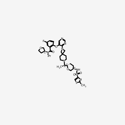 Cc1nc(S(=O)(=O)N[C@@H]2CC[C@@H]([C@@H](C)N3CCC4(CC3)CN(c3ncncc3Oc3ccc(F)cc3C(=O)N(C(C)C)[C@H]3CCOC3)C4)OC2)cs1